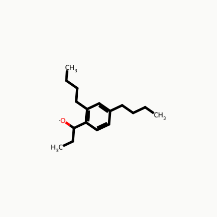 CCCCc1ccc(C([O])CC)c(CCCC)c1